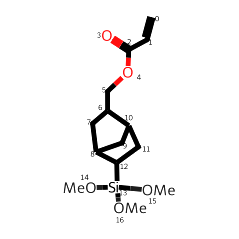 C=CC(=O)OCC1CC2CC1CC2[Si](OC)(OC)OC